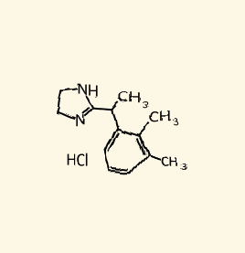 Cc1cccc(C(C)C2=NCCN2)c1C.Cl